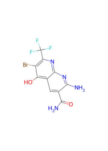 NC(=O)c1cc2c(O)c(Br)c(C(F)(F)F)nc2nc1N